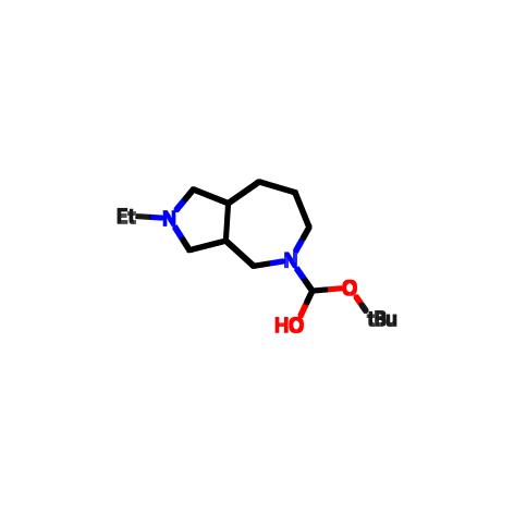 CCN1CC2CCCN(C(O)OC(C)(C)C)CC2C1